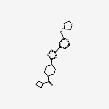 O=C(C1CCC1)N1CCC(c2noc(-c3ccnc(O[C@@H]4CCOC4)c3)n2)CC1